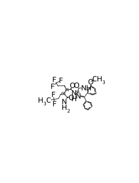 COc1cccc2c1NC(=O)[C@@H](NC(=O)[C@H](CCC(F)(F)F)[C@H](CCC(C)(F)F)C(N)=O)N=C2c1ccccc1